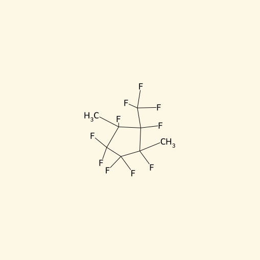 CC1(F)C(F)(F)C(F)(F)C(C)(F)C1(F)C(F)(F)F